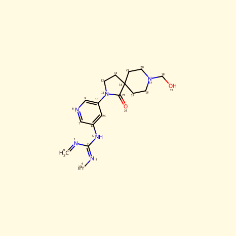 C=N/C(=N\C(C)C)Nc1cncc(N2CCC3(CCN(CO)CC3)C2=O)c1